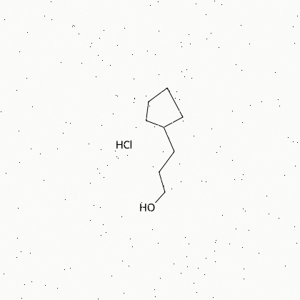 Cl.OCCCC1CCCC1